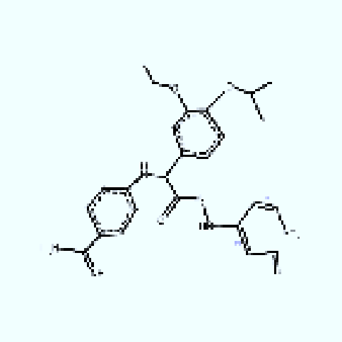 C=C/C=C(\C=C/N)NNC(=O)C(Nc1ccc(C(=N)N)cc1)c1ccc(OC(C)C)c(OCC)c1